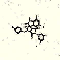 Cc1ccc(CC2NC3(c4cc(Cl)cc(Cl)c4NC3O)C3C(=O)N(c4cc(Cl)cc(Cl)c4)C(=O)C23)cc1